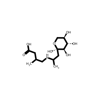 CC(CNC(C)C[C@@]1(O)OC[C@@H](O)[C@H](O)[C@H]1O)CC(=O)O